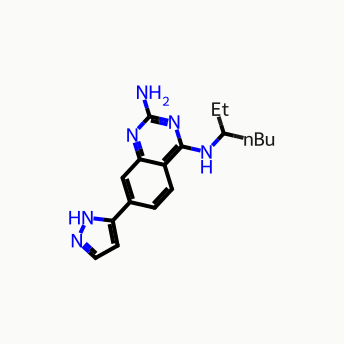 CCCCC(CC)Nc1nc(N)nc2cc(-c3ccn[nH]3)ccc12